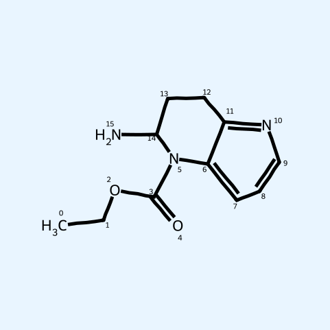 CCOC(=O)N1c2cccnc2CCC1N